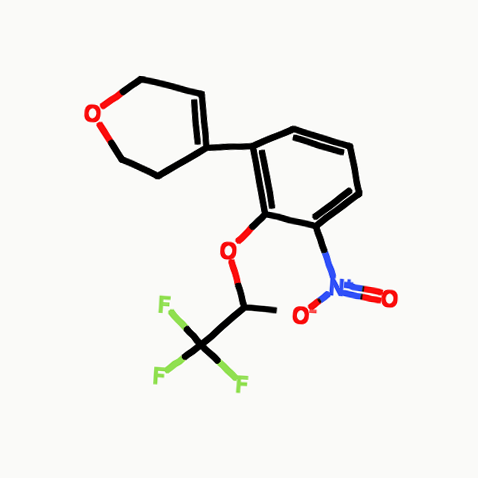 CC(Oc1c(C2=CCOCC2)cccc1[N+](=O)[O-])C(F)(F)F